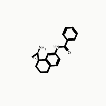 N[C@@H]1C[C@]12CCCc1ccc(NC(=O)c3ccccc3)cc12